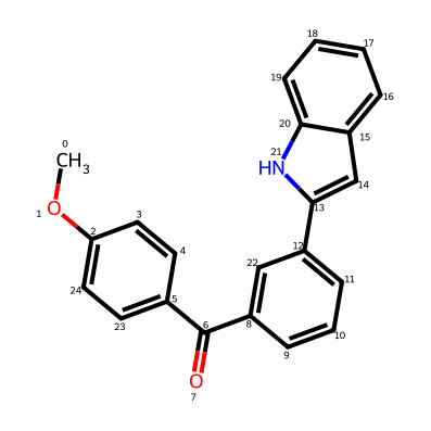 COc1ccc(C(=O)c2cccc(-c3cc4ccccc4[nH]3)c2)cc1